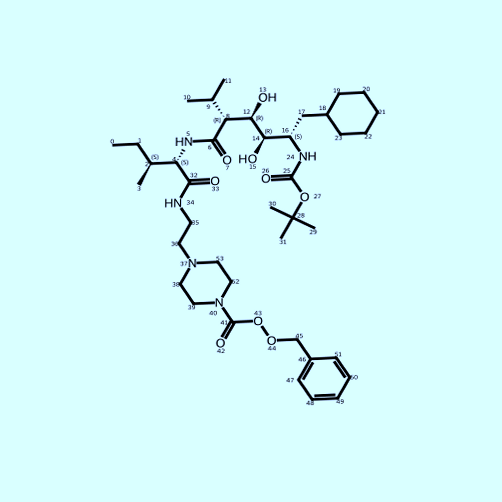 CC[C@H](C)[C@H](NC(=O)[C@H](C(C)C)[C@@H](O)[C@H](O)[C@H](CC1CCCCC1)NC(=O)OC(C)(C)C)C(=O)NCCN1CCN(C(=O)OOCc2ccccc2)CC1